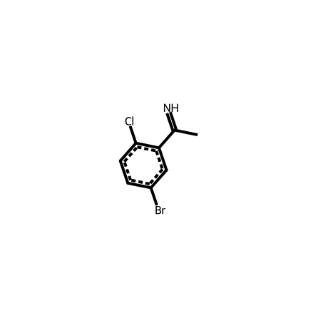 CC(=N)c1cc(Br)ccc1Cl